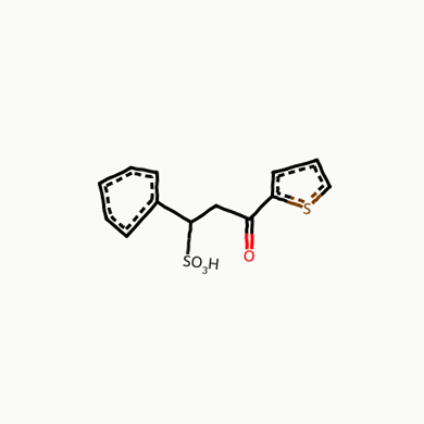 O=C(CC(c1ccccc1)S(=O)(=O)O)c1cccs1